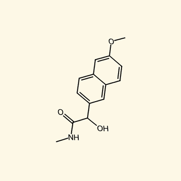 CNC(=O)C(O)c1ccc2cc(OC)ccc2c1